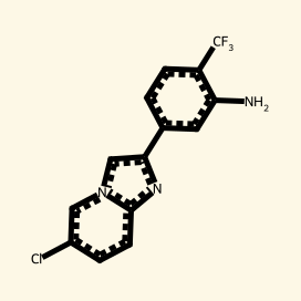 Nc1cc(-c2cn3cc(Cl)ccc3n2)ccc1C(F)(F)F